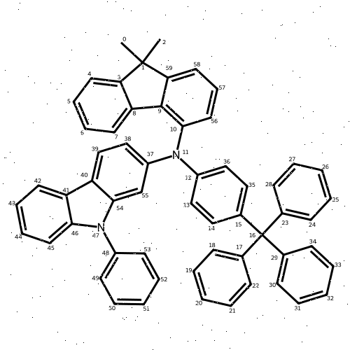 CC1(C)c2ccccc2-c2c(N(c3ccc(C(c4ccccc4)(c4ccccc4)c4ccccc4)cc3)c3ccc4c5ccccc5n(-c5ccccc5)c4c3)cccc21